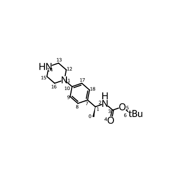 C[C@H](NC(=O)OC(C)(C)C)c1ccc(N2CCNCC2)cc1